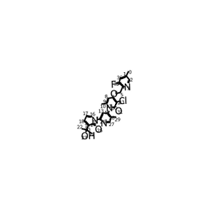 Cc1cnc(COc2cc(C)n(-c3cc(-n4cccc(C(C)(C)O)c4=O)ncc3C)c(=O)c2Cl)c(F)c1